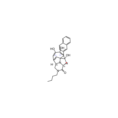 CCCCN1C[C@H]2C3=CC4(Cc5ccc6ccccc6c5)N2[C@@H](CC4(O)/C=C(O)\C(O)=C/3)C1=O